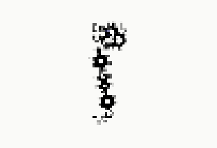 C=C1CCCCN1/C(C(=O)NCc1ccc(N2CC3(CC(c4ccc(OC(F)(F)F)cc4)C3)C2)cc1)=C(\N)CC